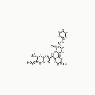 CC(C)(C)C1CC(OC(=O)Nc2ccc(F)cc2-c2ccc(OCc3ccccc3)c(Cl)c2)CCN1C(=O)O